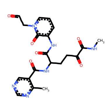 CNC(=O)C(=O)CCC(NC(=O)c1cncnc1C)C(=O)Nc1cccn(CC=O)c1=O